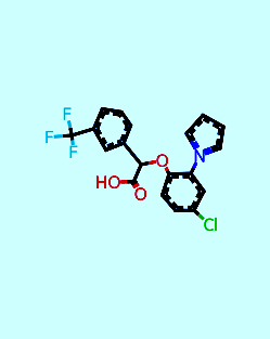 O=C(O)C(Oc1ccc(Cl)cc1-n1cccc1)c1cccc(C(F)(F)F)c1